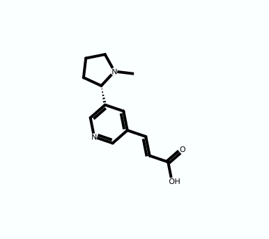 CN1CCC[C@H]1c1cncc(C=CC(=O)O)c1